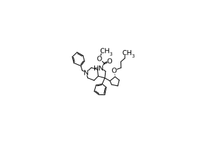 CCCCO[C@@H]1CCCC1C(CNC(=O)OC)(c1ccccc1)C1CCN(Cc2ccccc2)CC1